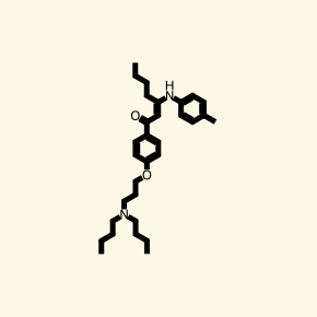 CCCC/C(=C\C(=O)c1ccc(OCCCN(CCCC)CCCC)cc1)Nc1ccc(C)cc1